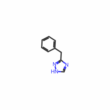 c1ccc(Cc2nc[nH]n2)cc1